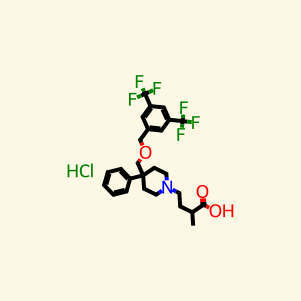 CC(CCN1CCC(COCc2cc(C(F)(F)F)cc(C(F)(F)F)c2)(c2ccccc2)CC1)C(=O)O.Cl